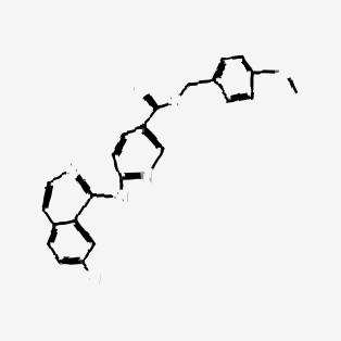 COc1ccc(CNC(=O)c2ccc(Nc3nccc4ccc(Cl)cc34)nc2)cc1